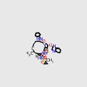 CC1CCCCC[C@H](Nc2ccccc2)C(=O)N2C[C@H](Oc3cnc4ccccc4n3)C[C@H]2C(=O)N[C@]2(C(=O)NS(=O)(=O)C3(C)CC3)C[C@H]2C1